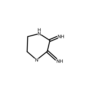 N=C1[N]CCNC1=N